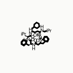 CC(C)CNC(=O)C[C@H](O)[C@H](CC1CCCCC1)NC(=O)[C@H](CC(C)C)NC(=O)[C@H](Cc1ccccc1)NC(=O)CC1Cc2ccccc2S1(=O)=O